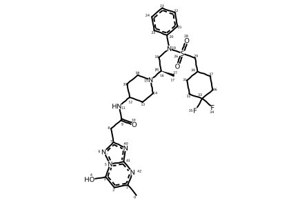 Cc1cc(O)n2nc(CC(=O)NC3CCN([C@H](C)CN(c4ccccc4)S(=O)(=O)CC4CCC(F)(F)CC4)CC3)nc2n1